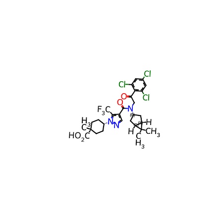 CC1(C)[C@@H]2C[C@H](N(CC(=O)c3c(Cl)cc(Cl)cc3Cl)C(=O)c3cnn([C@H]4CC[C@](C)(C(=O)O)CC4)c3C(F)(F)F)C[C@@H]21